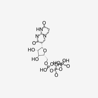 O=c1ccn2cc([C@@H]3O[C@H](COP(=O)(O)OP(=O)(O)OP(=O)(O)O)C(O)[C@@H]3O)c(=O)nc2[nH]1